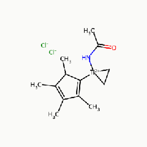 CC(=O)[NH][Ti+2]1([C]2=C(C)C(C)=C(C)C2C)[CH2][CH2]1.[Cl-].[Cl-]